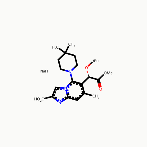 COC(=O)[C@@H](OC(C)(C)C)c1c(C)cc2nc(C(=O)O)cn2c1N1CCC(C)(C)CC1.[NaH]